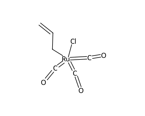 C=C[CH2][Ru]([Cl])(=[C]=O)(=[C]=O)=[C]=O